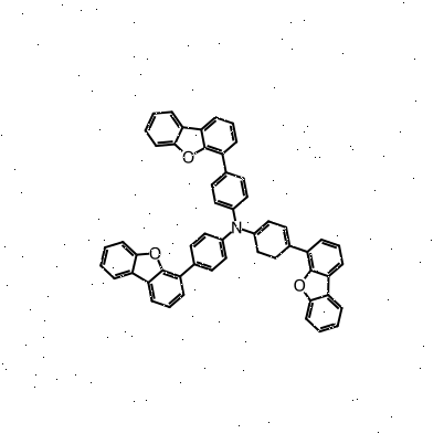 C1=C(c2cccc3c2oc2ccccc23)CCC(N(c2ccc(-c3cccc4c3oc3ccccc34)cc2)c2ccc(-c3cccc4c3oc3ccccc34)cc2)=C1